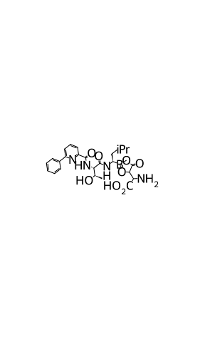 CC(C)C[C@H](NC(=O)[C@@H](NC(=O)c1cccc(-c2ccccc2)n1)[C@@H](C)O)B1OC(=O)C(C(N)C(=O)O)O1